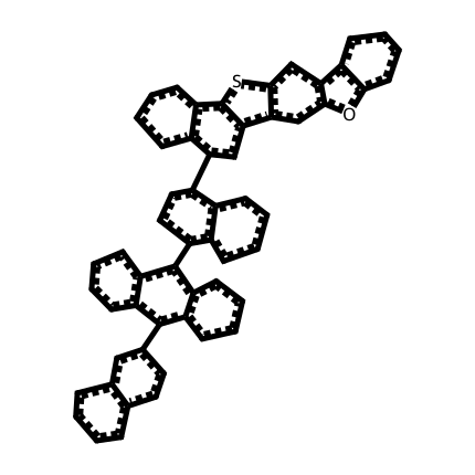 c1ccc2cc(-c3c4ccccc4c(-c4ccc(-c5cc6c7cc8oc9ccccc9c8cc7sc6c6ccccc56)c5ccccc45)c4ccccc34)ccc2c1